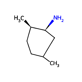 CC1CC[C@@H](C)[C@@H](N)C1